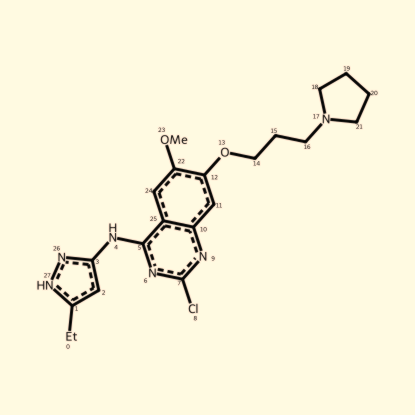 CCc1cc(Nc2nc(Cl)nc3cc(OCCCN4CCCC4)c(OC)cc23)n[nH]1